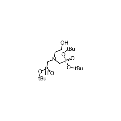 CC(C)(C)O[PH](=O)CN(CCO)CP(=O)(OC(C)(C)C)OC(C)(C)C